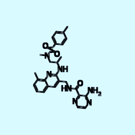 Cc1ccc(S(=O)(=O)N(C)CC(C)Nc2nc3c(C)cccc3cc2CNC(=O)c2nccnc2N)cc1